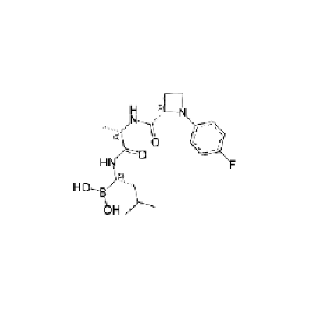 CC(C)C[C@@H](NC(=O)[C@H](C)NC(=O)[C@@H]1CCN1c1ccc(F)cc1)B(O)O